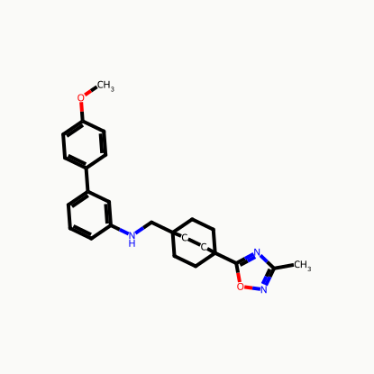 COc1ccc(-c2cccc(NCC34CCC(c5nc(C)no5)(CC3)CC4)c2)cc1